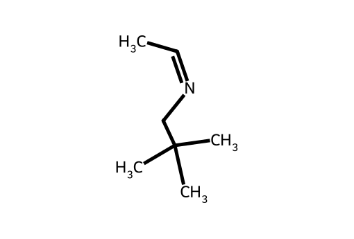 C/C=N\CC(C)(C)C